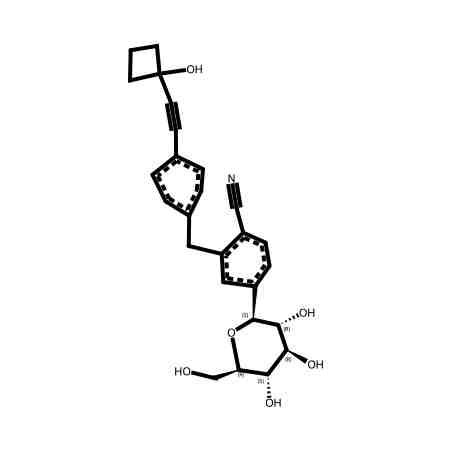 N#Cc1ccc([C@@H]2O[C@H](CO)[C@@H](O)[C@H](O)[C@H]2O)cc1Cc1ccc(C#CC2(O)CCC2)cc1